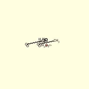 CCCCCCCCCCCCCC(=O)[O-].CCCCCCCCCCCCCC(=O)[O-].NC1CCCC[C@H]1N.O.[Pt+2]